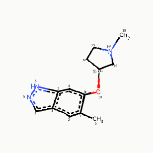 Cc1cc2cn[nH]c2cc1O[C@H]1CCN(C)C1